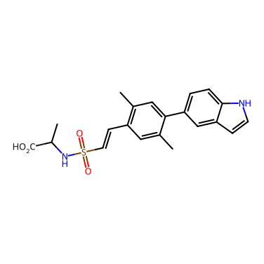 Cc1cc(-c2ccc3[nH]ccc3c2)c(C)cc1/C=C/S(=O)(=O)NC(C)C(=O)O